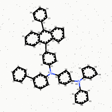 c1ccc(-c2cccc(N(c3ccc(-c4c5ccccc5c(-c5ccccc5)c5ccccc45)cc3)c3ccc(N(c4ccccc4)c4ccccc4)cc3)c2)cc1